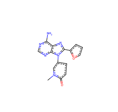 Cn1cc(-n2c(-c3ccco3)nc3c(N)ncnc32)ccc1=O